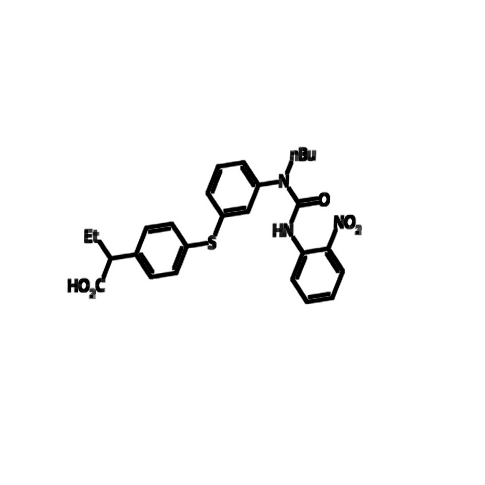 CCCCN(C(=O)Nc1ccccc1[N+](=O)[O-])c1cccc(Sc2ccc(C(CC)C(=O)O)cc2)c1